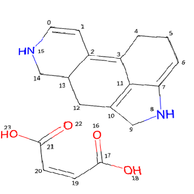 C1=CC2=C3CCC=C4NCC(=C43)CC2CN1.O=C(O)/C=C\C(=O)O